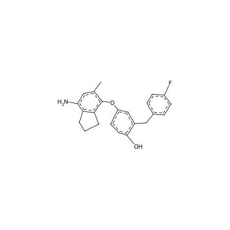 Cc1cc(N)c2c(c1Oc1ccc(O)c(Cc3ccc(F)cc3)c1)CCC2